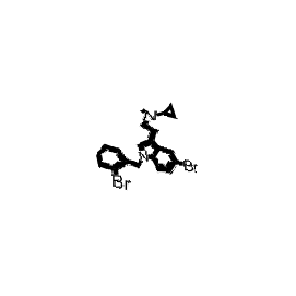 CN(CCc1cn(Cc2ccccc2Br)c2ccc(Br)cc12)C1CC1